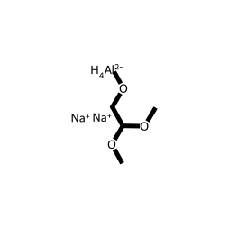 COC(C[O][AlH4-2])OC.[Na+].[Na+]